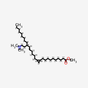 CCCCCCCCCC(CCCCCCC1CC1CCCCCCCCCC(=O)OC)CCN(C)C